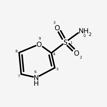 NS(=O)(=O)C1=CNC=CO1